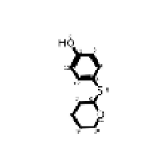 Oc1ccc(SC2CCCCO2)cc1